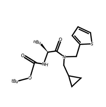 [CH2]CCC[C@H](NC(=O)OC(C)(C)C)C(=O)N(Cc1cccs1)CC1CC1